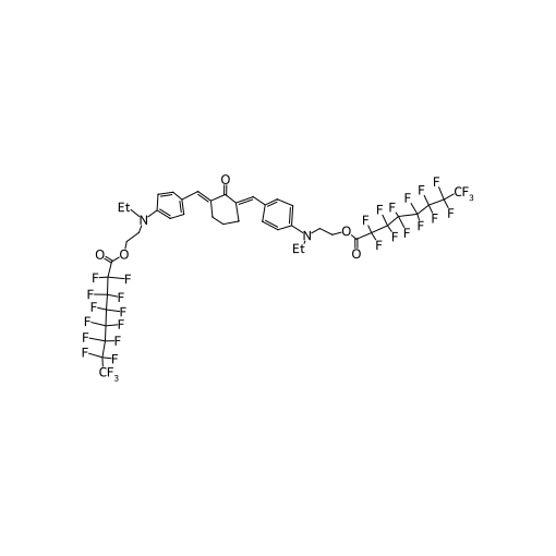 CCN(CCOC(=O)C(F)(F)C(F)(F)C(F)(F)C(F)(F)C(F)(F)C(F)(F)C(F)(F)F)c1ccc(C=C2CCCC(=Cc3ccc(N(CC)CCOC(=O)C(F)(F)C(F)(F)C(F)(F)C(F)(F)C(F)(F)C(F)(F)C(F)(F)F)cc3)C2=O)cc1